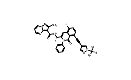 [2H]C([2H])([2H])n1cc(C#Cc2ccc(F)c3cc([C@H](C)NC(=O)c4c(N)nn5cccnc45)n(-c4ccccc4)c(=O)c23)cn1